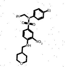 CCc1ccc(N(CC(C)C)S(=O)(=O)c2ccc(NCC3CCOCC3)c([N+](=O)[O-])c2)cc1